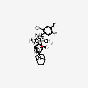 CC(C)(Oc1cc(F)c(F)cc1Cl)C(=O)NC1CC2CCC(C1)N2c1ccc(S(N)(=O)=O)cn1